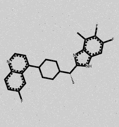 Cc1c(F)c(F)cc2[nH]c([C@H](C)C3CCC(c4ccnc5ccc(F)cc45)CC3)nc12